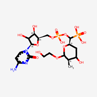 C[C@@H]1C(O)C[C@H](C(OP(=O)(O)OC[C@H]2O[C@@H](n3ccc(N)nc3=O)C(O)[C@H]2O)P(=O)(O)O)OC1OCCO